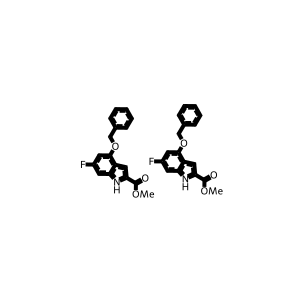 COC(=O)c1cc2c(OCc3ccccc3)cc(F)cc2[nH]1.COC(=O)c1cc2c(OCc3ccccc3)cc(F)cc2[nH]1